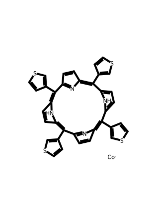 C1=Cc2nc1c(-c1ccsc1)c1ccc([nH]1)c(-c1ccsc1)c1nc(c(-c3ccsc3)c3ccc([nH]3)c2-c2ccsc2)C=C1.[Co]